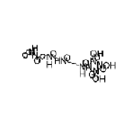 O=C(O)CN1CCN(CC(=O)O)CCN(CC(=O)NCCCCCCC(=O)NCCCCC(=O)NCc2ccc(C(=O)NCc3nccc4ccccc34)cc2)CCN(CC(=O)O)CC1